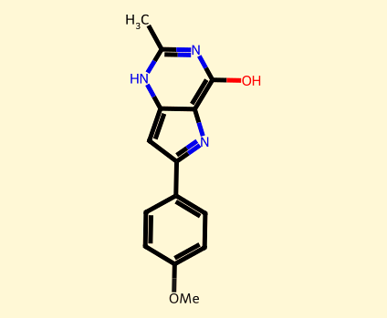 COc1ccc(-c2cc3[nH]c(C)nc(O)c-3n2)cc1